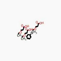 CCOC=CC(=O)O.CCOC=CC(=O)O.CCOC=CC(=O)O.[Si]c1ccccc1